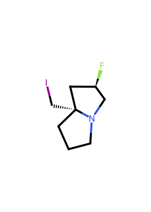 F[C@H]1CN2CCC[C@@]2(CI)C1